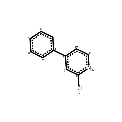 Clc1cc(-c2cc[c]cc2)ccn1